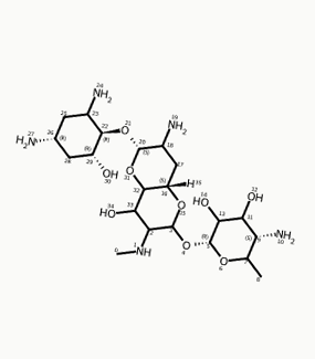 CNC1C(O[C@H]2OC(C)[C@@H](N)C(O)C2O)O[C@H]2CC(N)[C@@H](O[C@@H]3C(N)C[C@@H](N)C[C@H]3O)OC2C1O